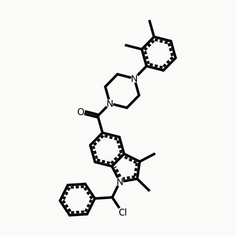 Cc1cccc(N2CCN(C(=O)c3ccc4c(c3)c(C)c(C)n4C(Cl)c3ccccc3)CC2)c1C